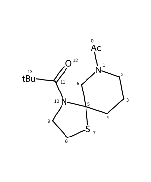 CC(=O)N1CCCC2(C1)SCCN2C(=O)C(C)(C)C